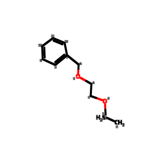 C[SiH2]OCCOCc1ccccc1